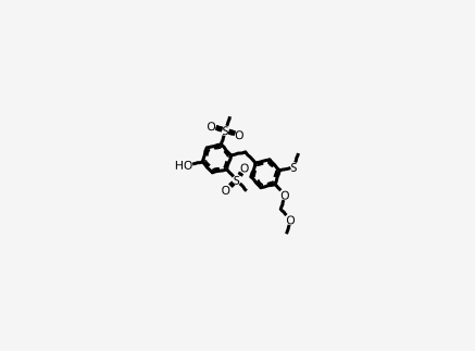 COCOc1ccc(Cc2c(S(C)(=O)=O)cc(O)cc2S(C)(=O)=O)cc1SC